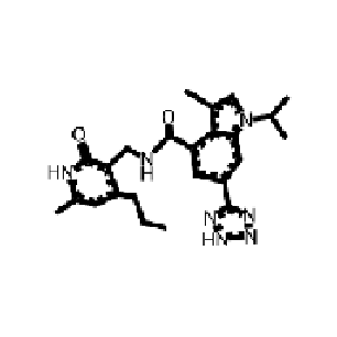 CCCc1cc(C)[nH]c(=O)c1CNC(=O)c1cc(-c2nn[nH]n2)cc2c1c(C)cn2C(C)C